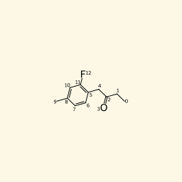 CCC(=O)Cc1ccc(C)cc1F